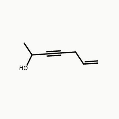 C=CCC#CC(C)O